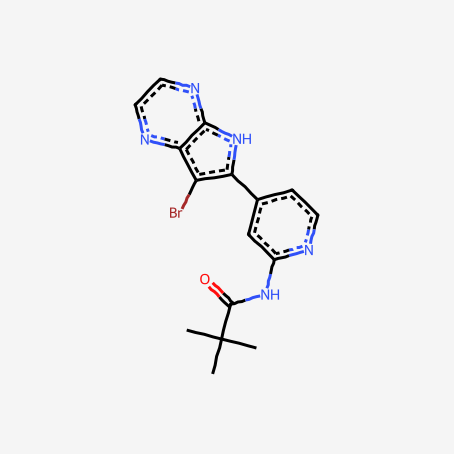 CC(C)(C)C(=O)Nc1cc(-c2[nH]c3nccnc3c2Br)ccn1